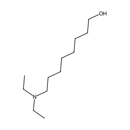 CCN(CC)CCCCCCCCO